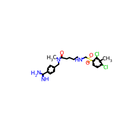 Cc1c(Cl)ccc(S(=O)(=O)CNCCCCC(=O)N(C)Cc2ccc(C(=N)N)cc2)c1Cl